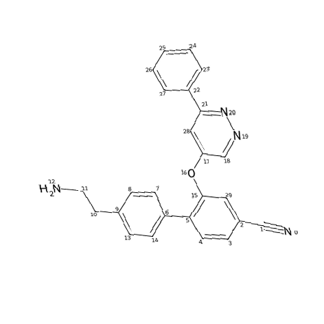 N#Cc1ccc(-c2ccc(CCN)cc2)c(Oc2cnnc(-c3ccccc3)c2)c1